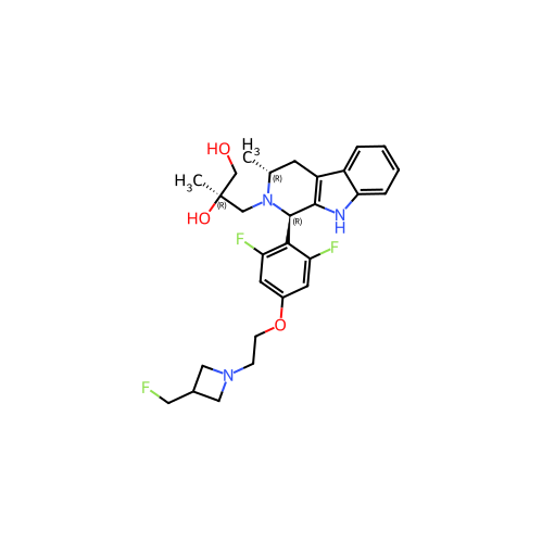 C[C@@H]1Cc2c([nH]c3ccccc23)[C@@H](c2c(F)cc(OCCN3CC(CF)C3)cc2F)N1C[C@@](C)(O)CO